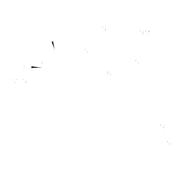 CNC(=O)C1(C)C[C@@H](n2cnc3c(NC)nc(C#Cc4cccnn4)nc32)[C@H](O)[C@@H]1O